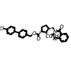 O=C(O)[C@@H]1[C@H](Cn2nnc3ccccc3c2=O)CC[C@@H]1C(=O)OCc1ccc(-c2ccc(Cl)cc2)cc1